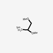 COCC(C)OC.[Sm]